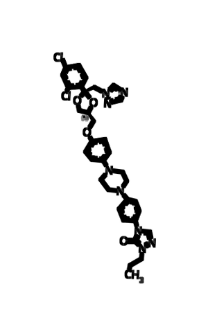 CCCn1ncn(-c2ccc(N3CCN(c4ccc(OC[C@H]5CO[C@](Cn6cncn6)(c6ccc(Cl)cc6Cl)O5)cc4)CC3)cc2)c1=O